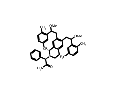 COC(Cc1cc2c(cc1CC(OC)c1cc(C(F)(F)F)ccc1C)CN([C@@H](C(N)=O)c1ccccc1)CC2)c1cc(C(F)(F)F)ccc1C